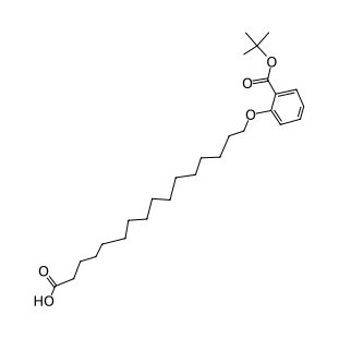 CC(C)(C)OC(=O)c1ccccc1OCCCCCCCCCCCCCCCC(=O)O